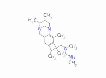 CNCN(C)CC1(C)c2c(cc3c(c2C)N2CC(C)C(C)N(C3)C2)C1C